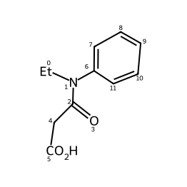 CCN(C(=O)CC(=O)O)c1ccccc1